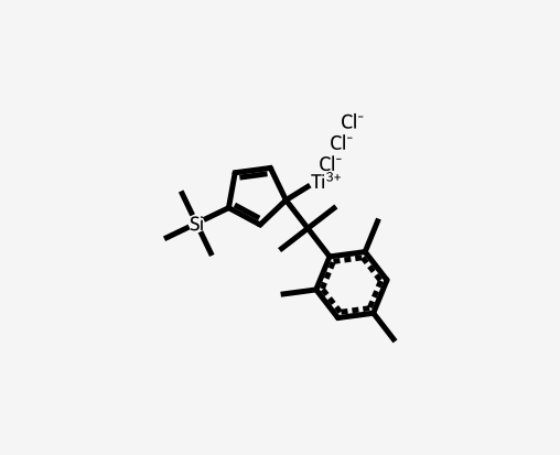 Cc1cc(C)c(C(C)(C)[C]2([Ti+3])C=CC([Si](C)(C)C)=C2)c(C)c1.[Cl-].[Cl-].[Cl-]